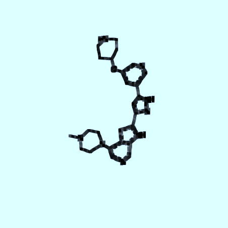 CN1CCN(c2cncc3[nH]c(-c4cc(-c5cncc(OC6CCNCC6)c5)[nH]n4)cc23)CC1